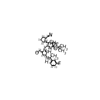 C=C(C(CN1CC(NC(C)c2cccc(F)c2)CC1C=O)NC(=O)OC(C)(C)C)N1CCCC1C#N